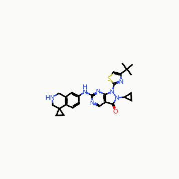 CC(C)(C)c1csc(-n2c3nc(Nc4ccc5c(c4)CNCC54CC4)ncc3c(=O)n2C2CC2)n1